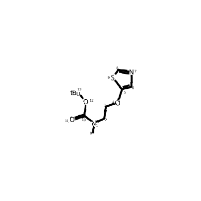 CN(CCOc1cncs1)C(=O)OC(C)(C)C